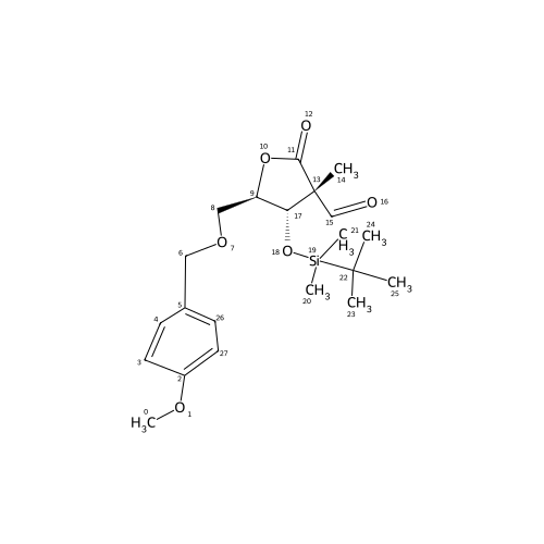 COc1ccc(COC[C@H]2OC(=O)[C@](C)(C=O)[C@@H]2O[Si](C)(C)C(C)(C)C)cc1